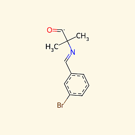 CC(C)([C]=O)/N=C/c1cccc(Br)c1